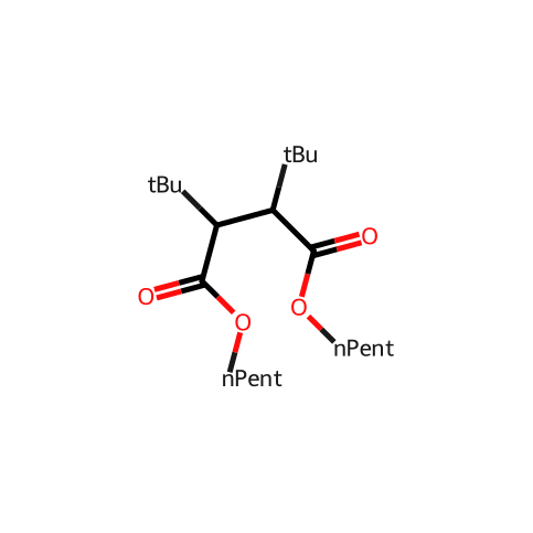 CCCCCOC(=O)C(C(C(=O)OCCCCC)C(C)(C)C)C(C)(C)C